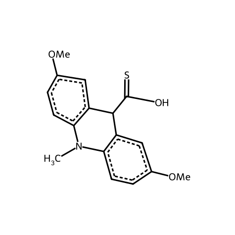 COc1ccc2c(c1)C(C(O)=S)c1cc(OC)ccc1N2C